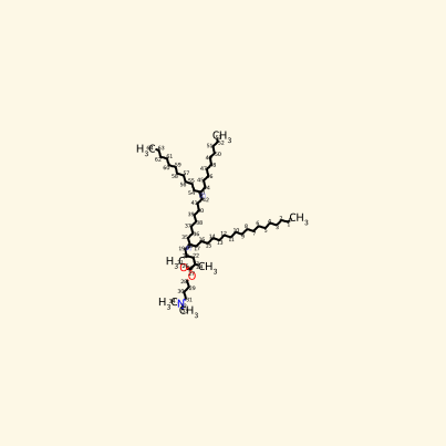 CCCCCCCCCCCCCCCCCC/C(=C\C(C)CC(C)C(=O)OCCCCN(C)C)CCCCCCC/C=C(/CCCCCCCCCC)CCCCCCCCCCC